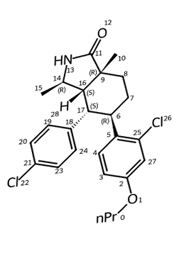 CCCOc1ccc([C@@H]2CC[C@@]3(C)C(=O)N[C@H](C)[C@H]3[C@H]2c2ccc(Cl)cc2)c(Cl)c1